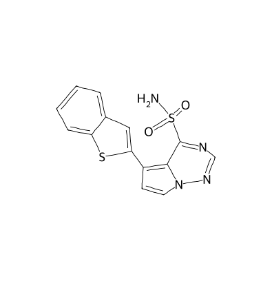 NS(=O)(=O)c1ncnn2ccc(-c3cc4ccccc4s3)c12